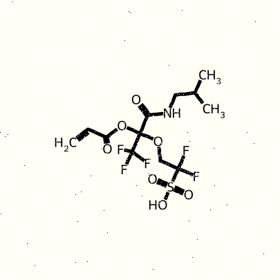 C=CC(=O)OC(OCC(F)(F)S(=O)(=O)O)(C(=O)NCC(C)C)C(F)(F)F